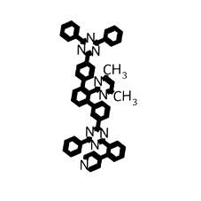 Cc1cc(C)nc(-c2c(-c3ccc(-c4nc(-c5ccccc5)nc(-c5ccccc5)n4)cc3)cccc2-c2cccc(-c3nc(-c4ccccc4)nc(-c4ccccc4-c4ccncc4)n3)c2)n1